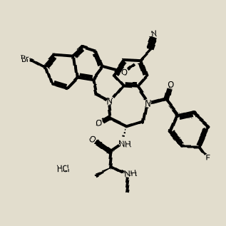 CN[C@@H](C)C(=O)N[C@H]1CN(C(=O)c2ccc(F)cc2)c2cc(C#N)ccc2N(Cc2c(OC)ccc3cc(Br)ccc23)C1=O.Cl